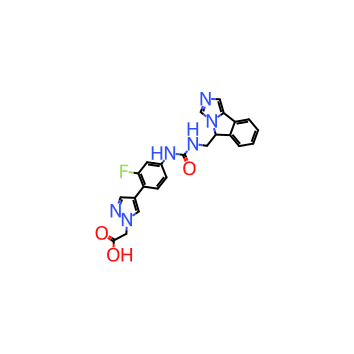 O=C(O)Cn1cc(-c2ccc(NC(=O)NCC3c4ccccc4-c4cncn43)cc2F)cn1